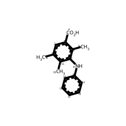 Cc1cc(C(=O)O)c(C)c(Nc2ccccc2)c1C